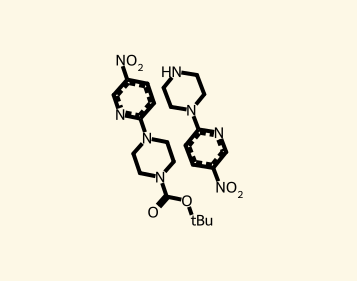 CC(C)(C)OC(=O)N1CCN(c2ccc([N+](=O)[O-])cn2)CC1.O=[N+]([O-])c1ccc(N2CCNCC2)nc1